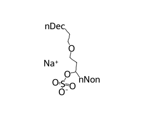 CCCCCCCCCCCCOCCC(CCCCCCCCC)OS(=O)(=O)[O-].[Na+]